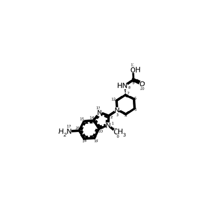 Cn1c(N2CCC[C@@H](NC(=O)O)C2)nc2cc(N)ccc21